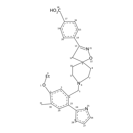 CCOc1cc(CN2CCC3(CC2)CC(c2ccc(C(=O)O)cc2)=NO3)c(-c2nccs2)cc1C